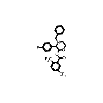 O=C(OC1OCCN(Cc2ccccc2)C1c1ccc(F)cc1)c1cc(C(F)(F)F)ccc1C(F)(F)F